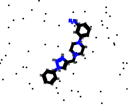 Nc1cccc(N2CCN(Cc3cn(-c4ccccc4)nn3)CC2)c1